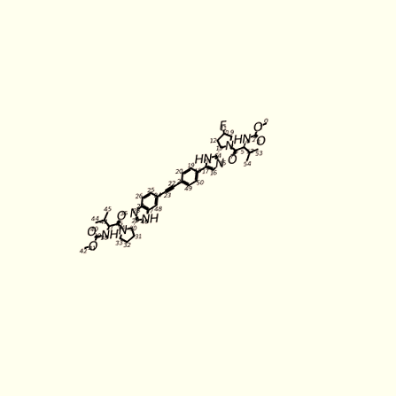 COC(=O)N[C@H](C(=O)N1C[C@H](F)C[C@H]1c1ncc(-c2ccc(C#Cc3ccc4nc([C@@H]5CCCN5C(=O)[C@@H](NC(=O)OC)C(C)C)[nH]c4c3)cc2)[nH]1)C(C)C